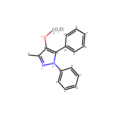 CCOC(=O)Oc1c(C)nn(-c2ccccc2)c1-c1ccccc1